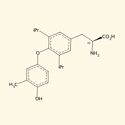 Cc1cc(Oc2c(C(C)C)cc(C[C@H](N)C(=O)O)cc2C(C)C)ccc1O